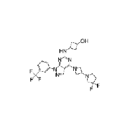 OC1CC(Nc2nc(N3CC(N4CCC(F)(F)C4)C3)c3cnn(-c4cccc(C(F)(F)F)c4)c3n2)C1